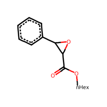 CCCCCCOC(=O)C1OC1c1ccccc1